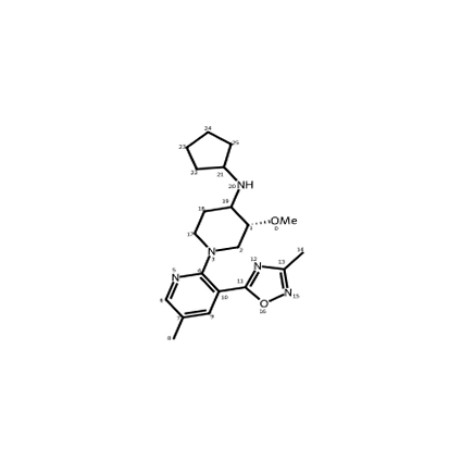 CO[C@@H]1CN(c2ncc(C)cc2-c2nc(C)no2)CCC1NC1CCCC1